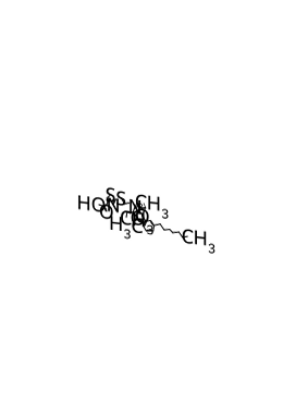 CCCCCCCc1ccc(C)c(OC[C@@H](C)N(CCSc2nc(C(=O)O)cs2)C(=O)CC)c1